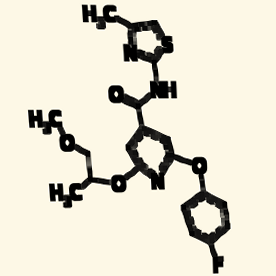 COCC(C)Oc1cc(C(=O)Nc2nc(C)cs2)cc(Oc2ccc(F)cc2)n1